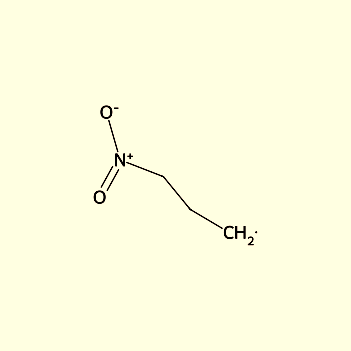 [CH2]CC[N+](=O)[O-]